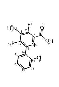 Nc1c(F)c(C(=O)O)nc(-c2ccccc2Cl)c1F